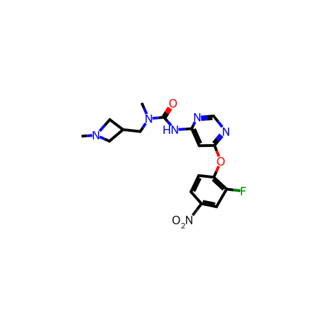 CN1CC(CN(C)C(=O)Nc2cc(Oc3ccc([N+](=O)[O-])cc3F)ncn2)C1